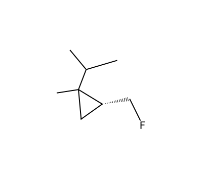 CC(C)C1(C)C[C@H]1CF